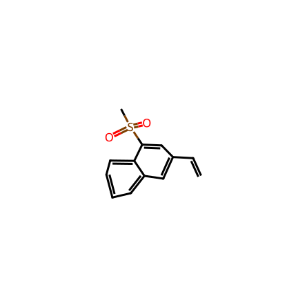 C=Cc1cc(S(C)(=O)=O)c2ccccc2c1